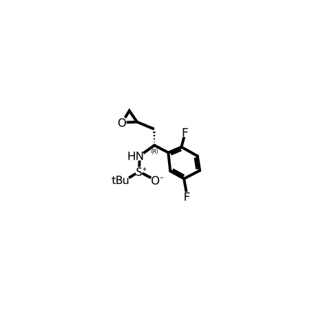 CC(C)(C)[S+]([O-])N[C@H](CC1CO1)c1cc(F)ccc1F